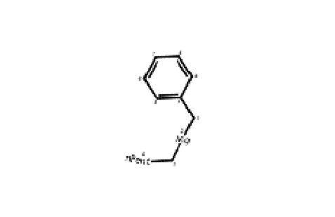 CCCCC[CH2][Mg][CH2]c1ccccc1